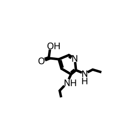 CCNc1cc(C(=O)O)cnc1NCC